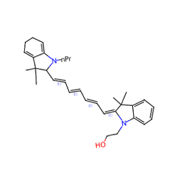 CCCN1C2=CCCC=C2C(C)(C)C1/C=C/C=C/C=C/C=C1/N(CCO)c2ccccc2C1(C)C